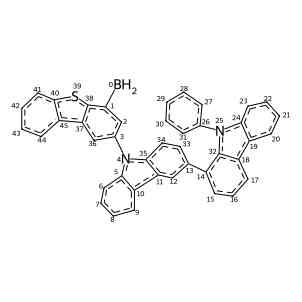 Bc1cc(-n2c3ccccc3c3cc(-c4cccc5c6ccccc6n(-c6ccccc6)c45)ccc32)cc2c1sc1ccccc12